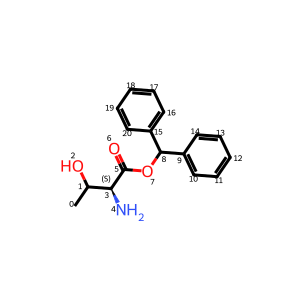 CC(O)[C@H](N)C(=O)OC(c1ccccc1)c1ccccc1